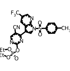 CCOP(=O)(OCC)Oc1ncc(C#N)c(-c2cn(S(=O)(=O)c3ccc(C)cc3)c3ncc(C(F)(F)F)cc23)n1